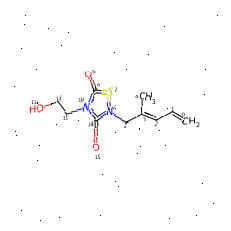 C=C/C=C(\C)Cn1sc(=O)n(CCO)c1=O